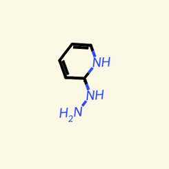 NN[C]1C=CC=CN1